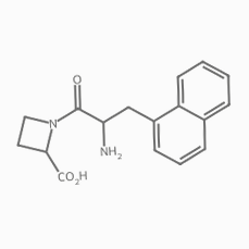 NC(Cc1cccc2ccccc12)C(=O)N1CCC1C(=O)O